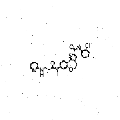 CN(C(=O)c1cc2c(s1)-c1ccc(NC(=O)CCNc3ccccn3)cc1OCC2)c1ccccc1Cl